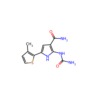 Cc1ccsc1-c1cc(C(N)=O)c(NC(N)=O)[nH]1